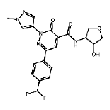 Cn1cc(-n2nc(-c3ccc(C(F)F)cc3)cc(C(=O)NC3COCC3O)c2=O)cn1